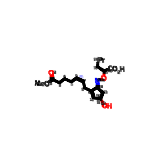 COC(=O)CCC/C=C\CC1=C[C@H](O)CC1=NOC(CC(C)C)C(=O)O